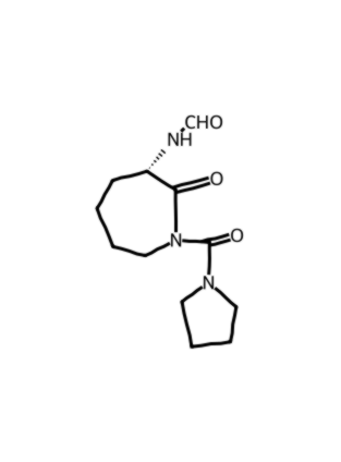 O=CN[C@H]1CCCCN(C(=O)N2CCCC2)C1=O